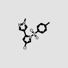 Cc1ccc(S(=O)(=O)n2cc(Cl)cc2-c2cnn(C)c2)cc1